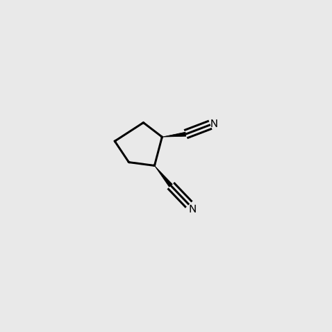 N#C[C@@H]1CCC[C@@H]1C#N